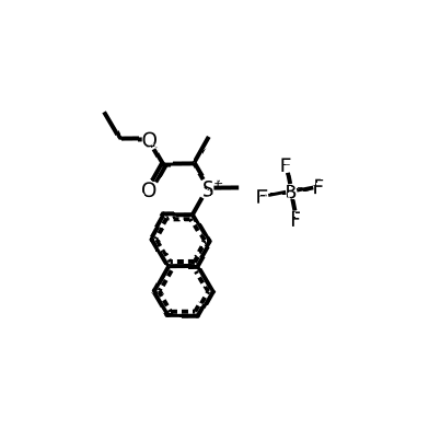 CCOC(=O)C(C)[S+](C)c1ccc2ccccc2c1.F[B-](F)(F)F